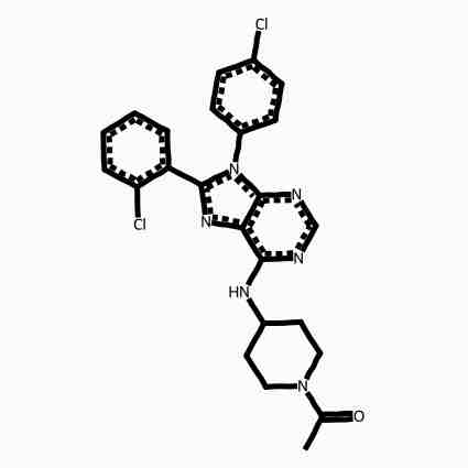 CC(=O)N1CCC(Nc2ncnc3c2nc(-c2ccccc2Cl)n3-c2ccc(Cl)cc2)CC1